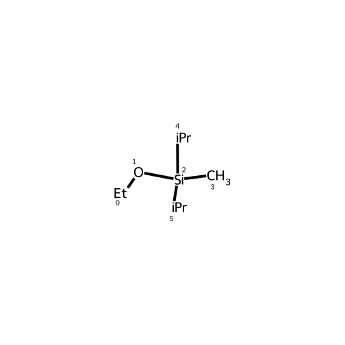 CCO[Si](C)(C(C)C)C(C)C